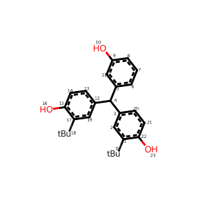 CC(C)(C)c1cc(C(c2cccc(O)c2)c2ccc(O)c(C(C)(C)C)c2)ccc1O